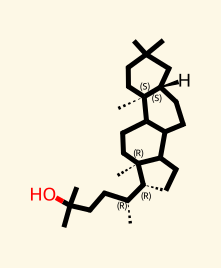 C[C@H](CCC(C)(C)O)[C@H]1CCC2C3CC[C@H]4CC(C)(C)CC[C@]4(C)C3CC[C@@]21C